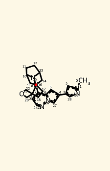 Cn1cc(-c2cc3c(N4CC5CCC(C4)N5C4CCC45COC5)ccnn3c2)cn1